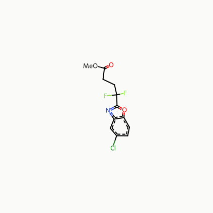 COC(=O)CCC(F)(F)c1nc2cc(Cl)ccc2o1